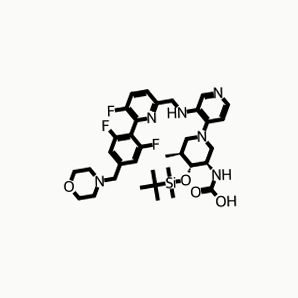 C[C@H]1CN(c2ccncc2NCc2ccc(F)c(-c3c(F)cc(CN4CCOCC4)cc3F)n2)C[C@@H](NC(=O)O)[C@@H]1O[Si](C)(C)C(C)(C)C